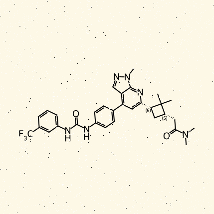 CN(C)C(=O)C[C@@H]1C[C@H](c2cc(-c3ccc(NC(=O)Nc4cccc(C(F)(F)F)c4)cc3)c3cnn(C)c3n2)C1(C)C